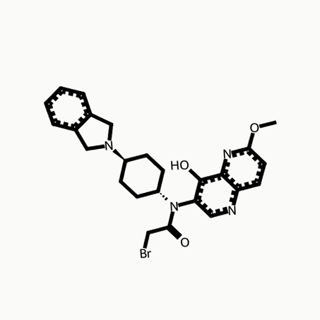 COc1ccc2ncc(N(C(=O)CBr)[C@H]3CC[C@H](N4Cc5ccccc5C4)CC3)c(O)c2n1